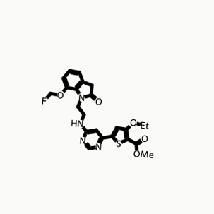 CCOc1cc(-c2cc(NCCN3C(=O)Cc4cccc(OCF)c43)ncn2)sc1C(=O)OC